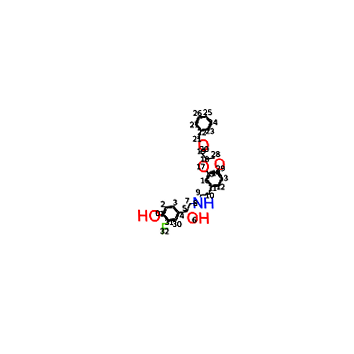 Oc1ccc(C(O)CNCCc2ccc3c(c2)OC(COCc2ccccc2)CO3)cc1F